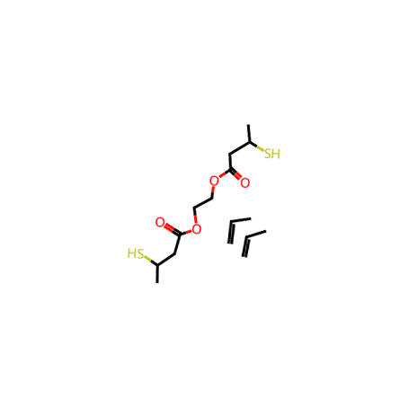 C=CC.C=CC.CC(S)CC(=O)OCCOC(=O)CC(C)S